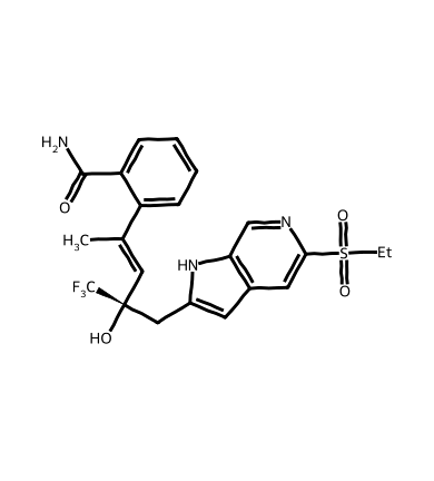 CCS(=O)(=O)c1cc2cc(C[C@](O)(/C=C(\C)c3ccccc3C(N)=O)C(F)(F)F)[nH]c2cn1